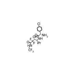 CC(C)[C@H](NC(=O)[C@@H](N)c1ccc(Cl)cc1)[C@@H](O)C(F)(F)C(=O)NCC(F)(F)F